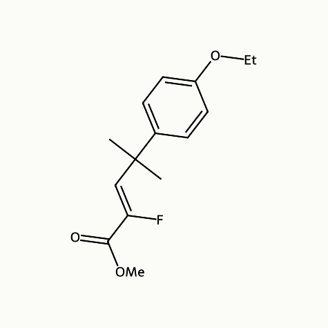 CCOc1ccc(C(C)(C)/C=C(\F)C(=O)OC)cc1